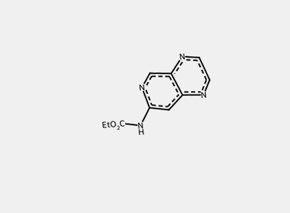 CCOC(=O)Nc1cc2nccnc2cn1